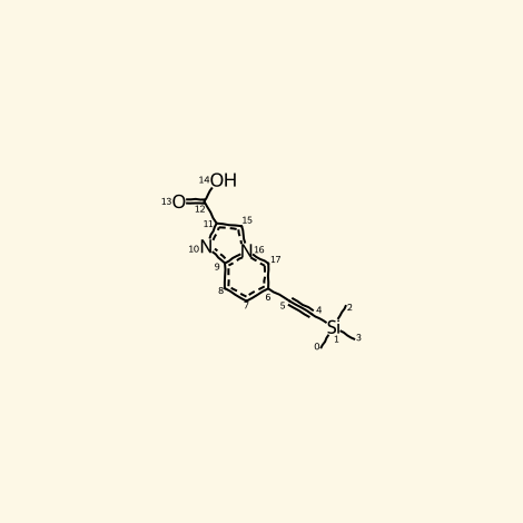 C[Si](C)(C)C#Cc1ccc2nc(C(=O)O)cn2c1